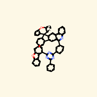 c1ccc(-c2nc(-c3cccc(-c4nc5ccccc5c5cc6c(cc45)-c4ccccc4C64c5ccccc5Oc5ccccc54)c3)nc(-c3cccc4oc5ccccc5c34)n2)cc1